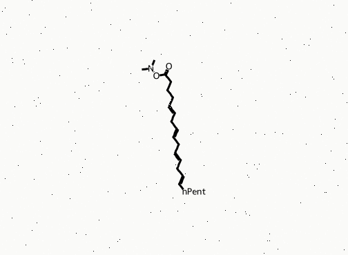 CCCCCC=CCC=CCC=CCC=CCCCC(=O)ON(C)C